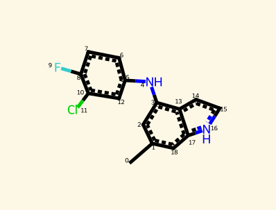 Cc1cc(Nc2ccc(F)c(Cl)c2)c2cc[nH]c2c1